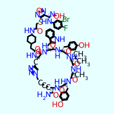 CC(C)[C@H]1NC(=O)[C@@H](Cc2ccc(O)cc2)NC(=O)[C@@H](Cc2c[nH]c3ccccc23)NC(=O)[C@@H](NC(=O)CC2CCC(NC(=O)CSc3nonc3/C(=N/O)Nc3ccc(F)c(Br)c3)CC2)Cc2cn(nn2)CCCC[C@@H](C(N)=O)NC(=O)[C@@H](Cc2ccc(O)cc2)NC(=O)[C@@H](C)NC1=O